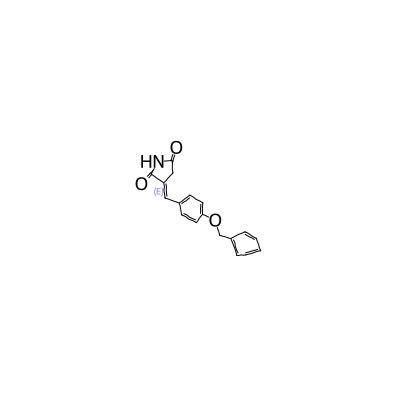 O=C1C/C(=C\c2ccc(OCc3ccccc3)cc2)C(=O)N1